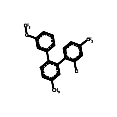 Cc1c[c]c(-c2cccc(OC(F)(F)F)c2)c(-c2ccc(C(F)(F)F)cc2Cl)c1